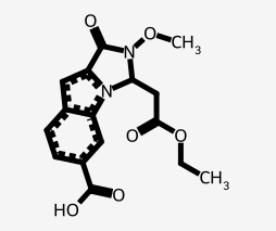 CCOC(=O)CC1N(OC)C(=O)c2cc3ccc(C(=O)O)cc3n21